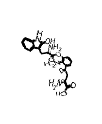 Nc1c(OC(=O)[C@@H](N)Cc2c(O)[nH]c3ccccc23)cccc1C(=O)C[C@H](N)C(=O)O